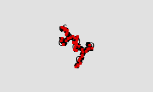 c1ccc(-c2ccc3c(c2)oc2cc(-c4ccc(N(c5ccc(-c6cccc7oc8ccccc8c67)cc5)c5ccc(-c6ccc(-c7cccc8c7oc7cccc(-c9ccc(N(c%10ccc(-c%11ccc%12sc%13ccccc%13c%12c%11)cc%10)c%10ccc(-c%11cccc%12oc%13ccccc%13c%11%12)cc%10)cc9)c78)c7oc8ccccc8c67)cc5)cc4)ccc23)cc1